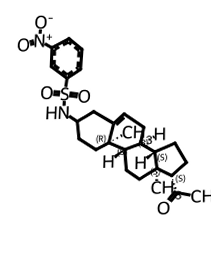 CC(=O)[C@H]1CC[C@H]2[C@@H]3CC=C4CC(NS(=O)(=O)c5cccc([N+](=O)[O-])c5)CC[C@]4(C)[C@H]3CC[C@]12C